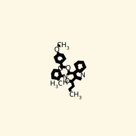 CCCC(=O)c1cnc2ccccc2c1C(Nc1ccccc1C)OC(=O)c1ccc(OC)cc1